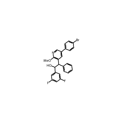 COc1ncc(-c2ccc(Br)cc2)cc1C(c1ccccc1)C(O)c1cc(F)cc(F)c1